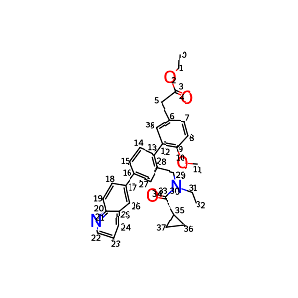 CCOC(=O)Cc1ccc(OC)c(-c2ccc(-c3ccc4ncccc4c3)cc2CN(CC)C(=O)C2CC2)c1